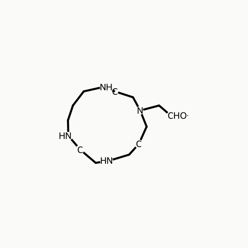 O=[C]CN1CCCNCCNCCCNCC1